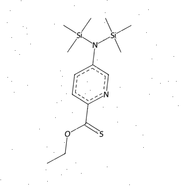 CCOC(=S)c1ccc(N([Si](C)(C)C)[Si](C)(C)C)cn1